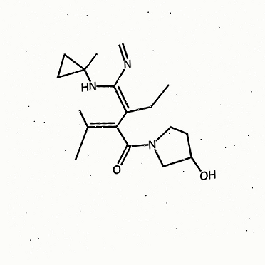 C=N/C(NC1(C)CC1)=C(\CC)C(C(=O)N1CCC(O)C1)=C(C)C